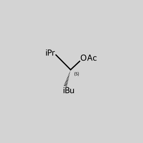 CCC(C)[C@@H](OC(C)=O)C(C)C